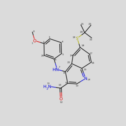 COc1cccc(Nc2c(C(N)=O)cnc3ccc(SC(C)(C)C)cc23)c1